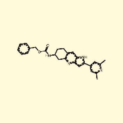 Cc1cc(-c2cc3nc4c(cc3[nH]2)CCC(NC(=O)OCc2ccccc2)C4)cc(C)n1